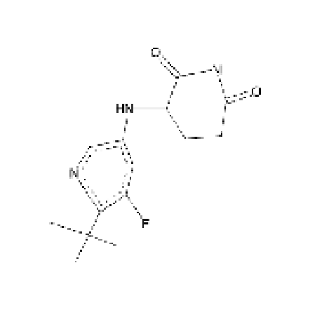 CC(C)(C)c1ncc(NC2CCC(=O)NC2=O)cc1F